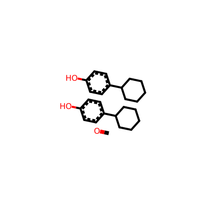 C=O.Oc1ccc(C2CCCCC2)cc1.Oc1ccc(C2CCCCC2)cc1